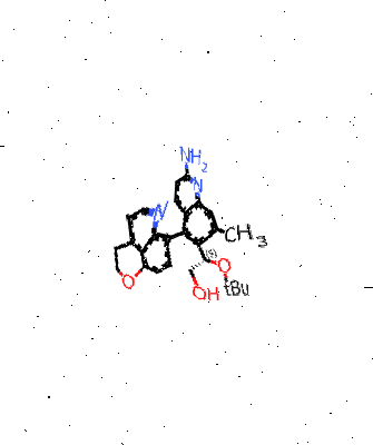 Cc1cc2nc(N)ccc2c(-c2ccc3c4c(ccnc24)CCO3)c1[C@@H](CO)OC(C)(C)C